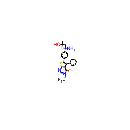 CC1(O)CC(N)(c2ccc(-c3sc4ncn(CC(F)(F)F)c(=O)c4c3-c3ccccc3)cc2)C1